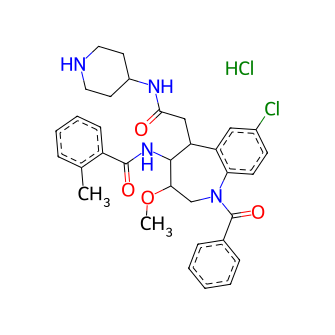 COC1CN(C(=O)c2ccccc2)c2ccc(Cl)cc2C(CC(=O)NC2CCNCC2)C1NC(=O)c1ccccc1C.Cl